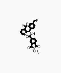 CN1C(=O)c2ccc(C(=O)N[C@@H](c3ccc(CF)cc3)c3ncccc3C(F)(F)F)cc2C1=O